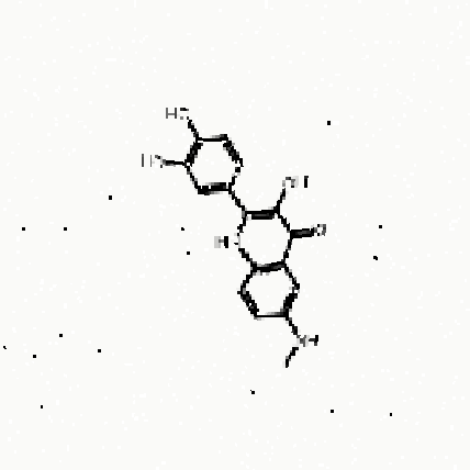 CNc1ccc2[nH]c(-c3ccc(O)c(O)c3)c(O)c(=O)c2c1